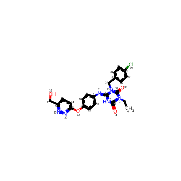 CCn1c(=O)[nH]/c(=N\c2ccc(Oc3ccc(CO)nn3)cc2)n(Cc2ccc(Cl)cc2)c1=O